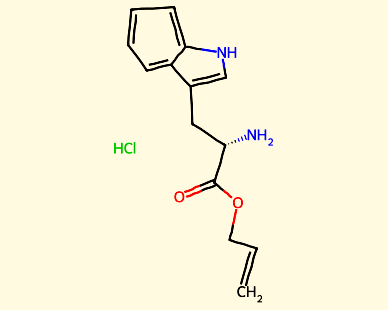 C=CCOC(=O)[C@@H](N)Cc1c[nH]c2ccccc12.Cl